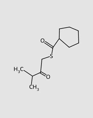 CC(C)C(=O)CSC(=O)C1CCCCC1